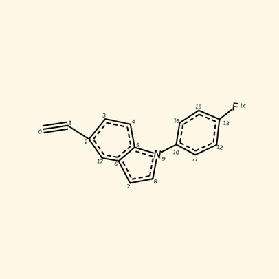 C#Cc1ccc2c(ccn2-c2ccc(F)cc2)c1